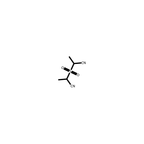 CC(C#N)S(=O)(=O)C(C)C#N